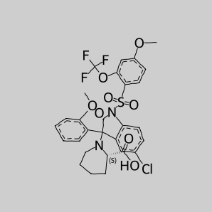 COc1ccc(S(=O)(=O)N2C(=O)C(c3ccccc3OC)(N3CCCC[C@H]3C(=O)O)c3cc(Cl)ccc32)c(OC(F)(F)F)c1